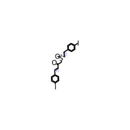 O=C(/C=C/c1ccc(I)cc1)C[S+]([O-])/C=C/c1ccc(I)cc1